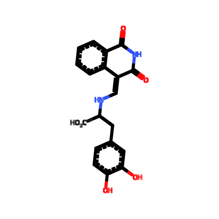 O=C1NC(=O)c2ccccc2C1=CNC(Cc1ccc(O)c(O)c1)C(=O)O